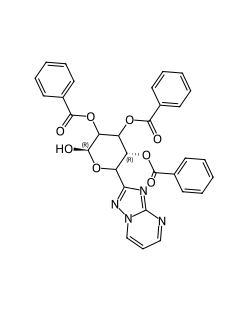 O=C(OC1C(OC(=O)c2ccccc2)[C@H](O)OC(c2nc3ncccn3n2)[C@H]1OC(=O)c1ccccc1)c1ccccc1